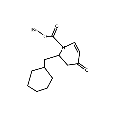 CC(C)(C)OC(=O)N1C=CC(=O)CC1CC1CCCCC1